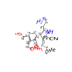 COCCc1c(C#N)[nH]c(CCN)c1-c1ccc(CO)c(CO)c1CO